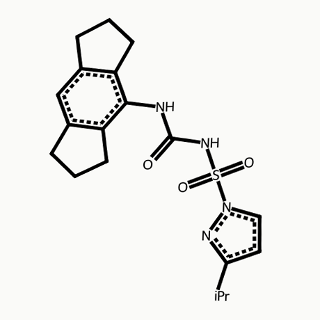 CC(C)c1ccn(S(=O)(=O)NC(=O)Nc2c3c(cc4c2CCC4)CCC3)n1